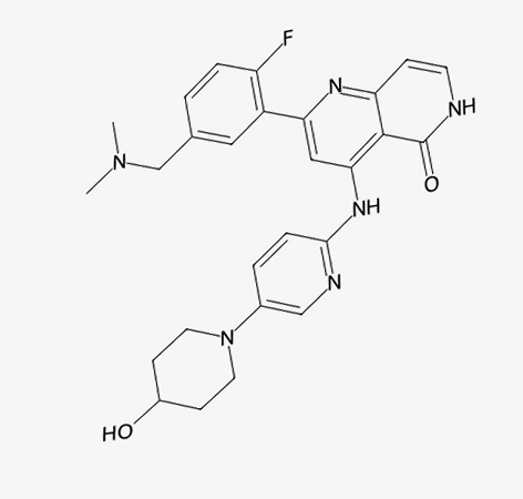 CN(C)Cc1ccc(F)c(-c2cc(Nc3ccc(N4CCC(O)CC4)cn3)c3c(=O)[nH]ccc3n2)c1